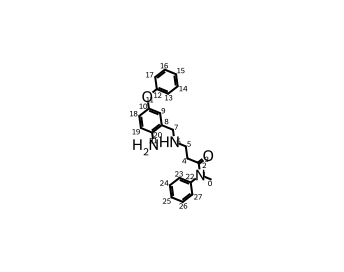 CN(C(=O)CCNCc1cc(Oc2ccccc2)ccc1N)c1ccccc1